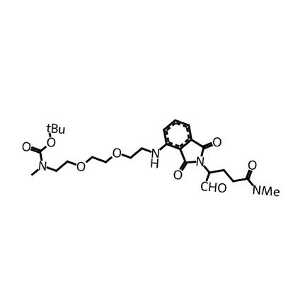 CNC(=O)CCC(C=O)N1C(=O)c2cccc(NCCOCCOCCN(C)C(=O)OC(C)(C)C)c2C1=O